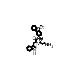 CCn1c2ccccc2c2cc(NC(=O)C(Cc3c[nH]c4ccccc34)NC(=O)CCN)ccc21